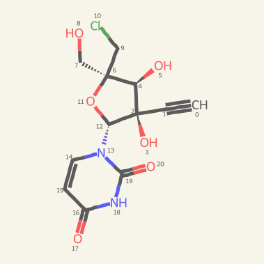 C#C[C@@]1(O)[C@H](O)[C@](CO)(CCl)O[C@H]1n1ccc(=O)[nH]c1=O